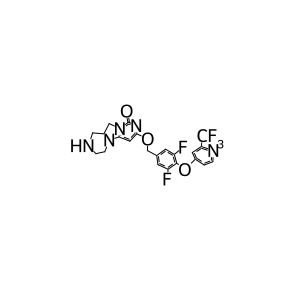 O=c1nc(OCc2cc(F)c(Oc3ccnc(C(F)(F)F)c3)c(F)c2)cc2n1CC1CNCCN21